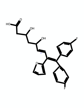 O=C(O)CC(O)CC(O)/C=C/C(=C(c1ccc(F)cc1)c1ccc(F)cc1)c1ccco1